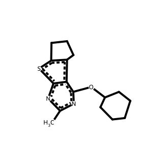 Cc1nc(OC2CCCCC2)c2c3c(sc2n1)CCC3